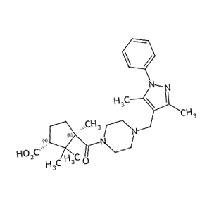 Cc1nn(-c2ccccc2)c(C)c1CN1CCN(C(=O)[C@]2(C)CC[C@@H](C(=O)O)C2(C)C)CC1